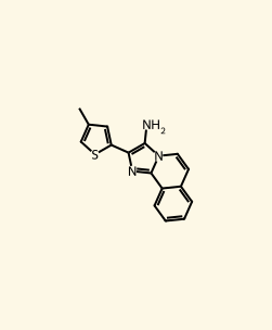 Cc1csc(-c2nc3c4ccccc4ccn3c2N)c1